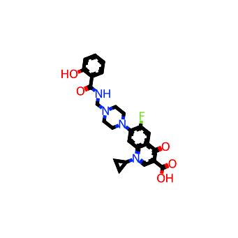 O=C(NCN1CCN(c2cc3c(cc2F)c(=O)c(C(=O)O)cn3C2CC2)CC1)c1ccccc1O